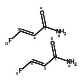 NC(=O)C=CF.NC(=O)C=CF